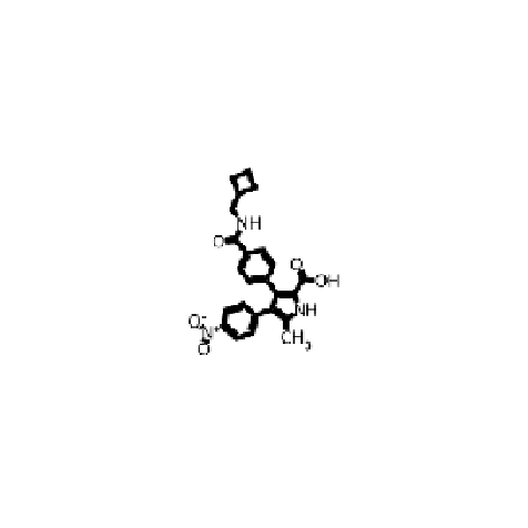 Cc1[nH]c(C(=O)O)c(-c2ccc(C(=O)NCC3CCC3)cc2)c1-c1ccc([N+](=O)[O-])cc1